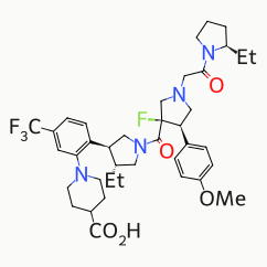 CC[C@H]1CN(C(=O)[C@]2(F)CN(CC(=O)N3CCC[C@H]3CC)C[C@H]2c2ccc(OC)cc2)C[C@@H]1c1ccc(C(F)(F)F)cc1N1CCC(C(=O)O)CC1